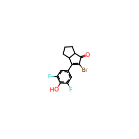 O=C1C(Br)=C(c2cc(F)c(O)c(F)c2)C2CCCC12